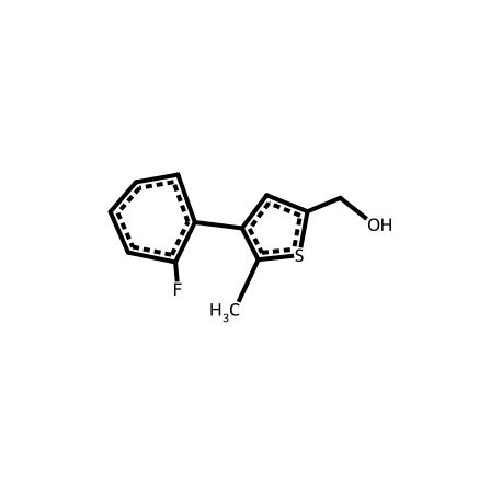 Cc1sc(CO)cc1-c1ccccc1F